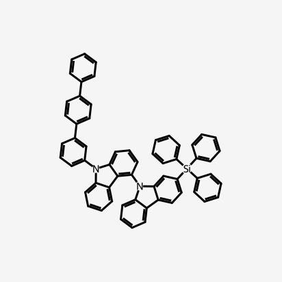 c1ccc(-c2ccc(-c3cccc(-n4c5ccccc5c5c(-n6c7ccccc7c7ccc([Si](c8ccccc8)(c8ccccc8)c8ccccc8)cc76)cccc54)c3)cc2)cc1